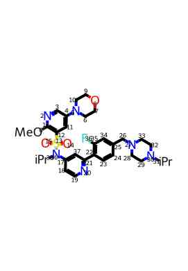 COc1ncc(N2CCOCC2)cc1S(=O)(=O)N(c1ccnc(-c2ccc(CN3CCN(C(C)C)CC3)cc2F)c1)C(C)C